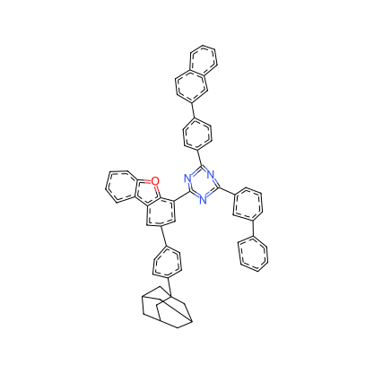 c1ccc(-c2cccc(-c3nc(-c4ccc(-c5ccc6ccccc6c5)cc4)nc(-c4cc(-c5ccc(C67CC8CC(CC(C8)C6)C7)cc5)cc5c4oc4ccccc45)n3)c2)cc1